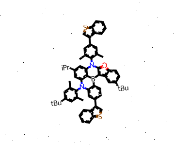 Cc1cc(C(C)(C)C)cc(C)c1N1c2cc(-c3csc4ccccc34)ccc2B2c3c1cc(C(C)C)cc3N(c1c(C)cc(-c3csc4ccccc34)cc1C)c1oc3ccc(C(C)(C)C)cc3c12